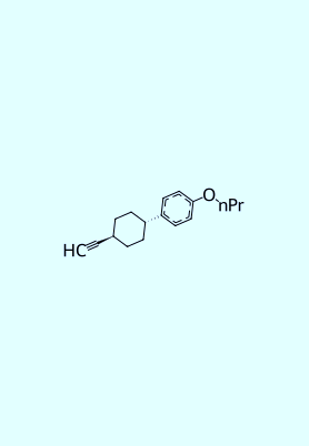 C#C[C@H]1CC[C@H](c2ccc(OCCC)cc2)CC1